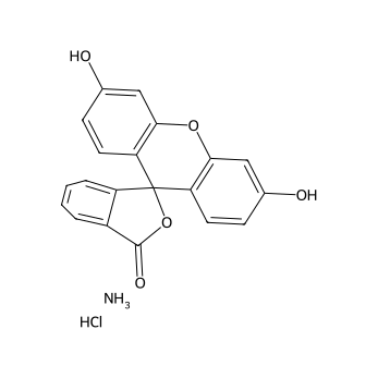 Cl.N.O=C1OC2(c3ccc(O)cc3Oc3cc(O)ccc32)c2ccccc21